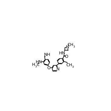 CCc1cc(-c2cc(Oc3ccc(C=N)c(NC)c3)ccn2)ccc1C(=O)NC1CN(C)C1